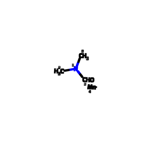 CN(C)C=O.[Mn]